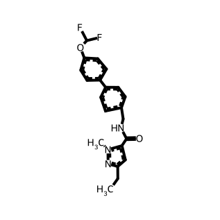 CCc1cc(C(=O)NCc2ccc(-c3ccc(OC(F)F)cc3)cc2)n(C)n1